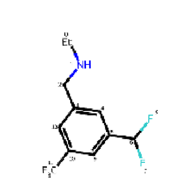 CCNCc1cc(C(F)F)cc(C(F)(F)F)c1